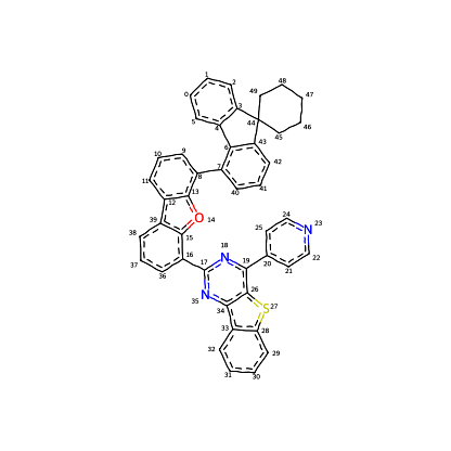 c1ccc2c(c1)-c1c(-c3cccc4c3oc3c(-c5nc(-c6ccncc6)c6sc7ccccc7c6n5)cccc34)cccc1C21CCCCC1